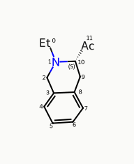 CCN1Cc2ccccc2C[C@H]1C(C)=O